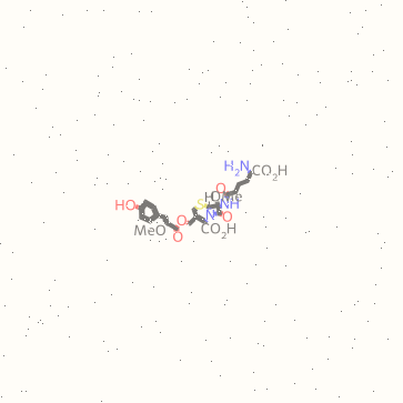 COC(=Cc1ccc(O)cc1)C(=O)OCC1=C(C(=O)O)N2C(=O)C(NC(=O)CCCC(N)C(=O)O)(OC)[C@@H]2SC1